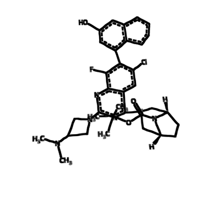 CN(C)C1CN(c2nc(N3C[C@H]4CC[C@@H](C3)N4C(=O)OC(C)(C)C)c3cc(Cl)c(-c4cc(O)cc5ccccc45)c(F)c3n2)C1